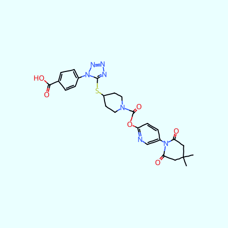 CC1(C)CC(=O)N(c2ccc(OC(=O)N3CCC(Sc4nnnn4-c4ccc(C(=O)O)cc4)CC3)nc2)C(=O)C1